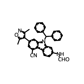 Cc1noc(C)c1-c1cc(C#N)c2c3ccc(NC=O)cc3n(C(c3ccccc3)c3ccccc3)c2c1